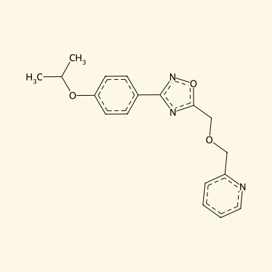 CC(C)Oc1ccc(-c2noc(COCc3ccccn3)n2)cc1